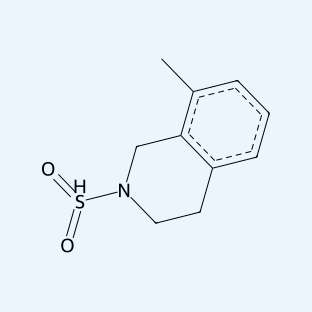 Cc1cccc2c1CN([SH](=O)=O)CC2